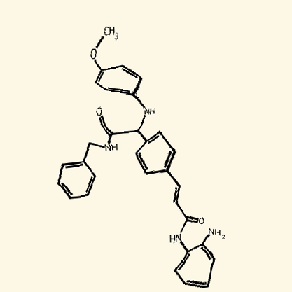 COc1ccc(NC(C(=O)NCc2ccccc2)c2ccc(C=CC(=O)Nc3ccccc3N)cc2)cc1